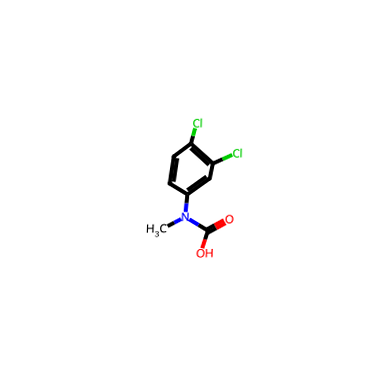 CN(C(=O)O)c1ccc(Cl)c(Cl)c1